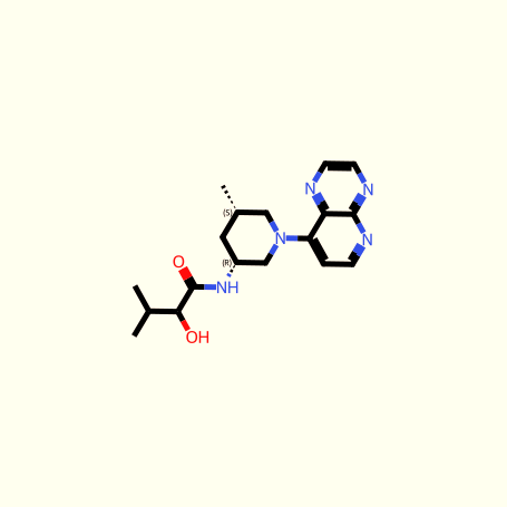 CC(C)C(O)C(=O)N[C@@H]1C[C@H](C)CN(c2ccnc3nccnc23)C1